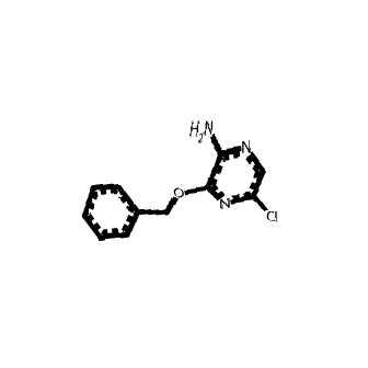 Nc1ncc(Cl)nc1OCc1ccccc1